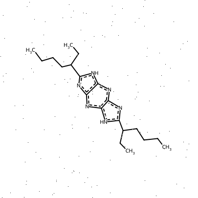 CCCCC(CC)c1nc2nc3[nH]c(C(CC)CCCC)nc3nc2[nH]1